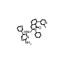 Cc1cc(-c2cccc3cc([C@H](C)Nc4nc(N)ncc4-c4cccnc4)n(-c4ccccc4)c(=O)c23)ccn1